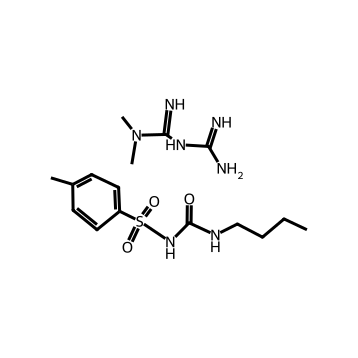 CCCCNC(=O)NS(=O)(=O)c1ccc(C)cc1.CN(C)C(=N)NC(=N)N